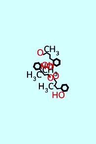 CC(C)(CC=O)c1ccccc1O.CC(C=O)CCc1ccccc1O.CC(CC=O)Cc1ccccc1O